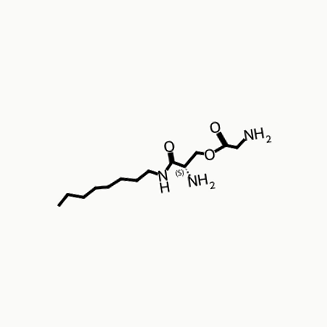 CCCCCCCCNC(=O)[C@@H](N)COC(=O)CN